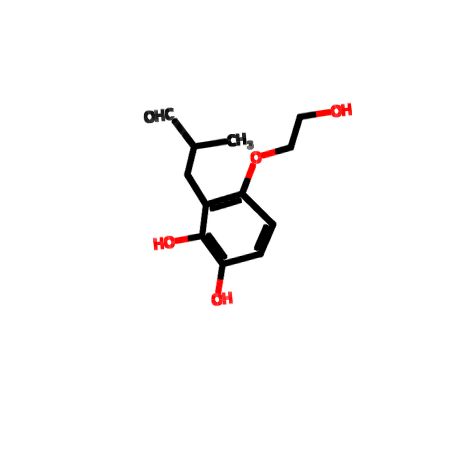 CC(C=O)Cc1c(OCCO)ccc(O)c1O